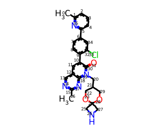 Cc1cccc(-c2ccc(-c3cc4cnc(C)nc4n(CC4COC5(CNC5)OC4)c3=O)c(Cl)c2)n1